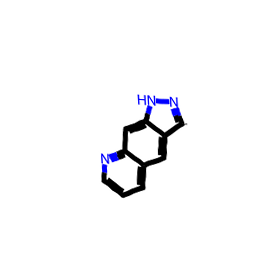 [c]1n[nH]c2cc3ncccc3cc12